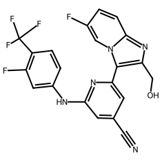 N#Cc1cc(Nc2ccc(C(F)(F)F)c(F)c2)nc(-c2c(CO)nc3ccc(F)cn23)c1